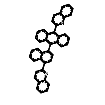 c1ccc2nc(-c3ccc(-c4c5ccccc5c(-c5ccc6ccccc6n5)c5ccccc45)c4ccccc34)ccc2c1